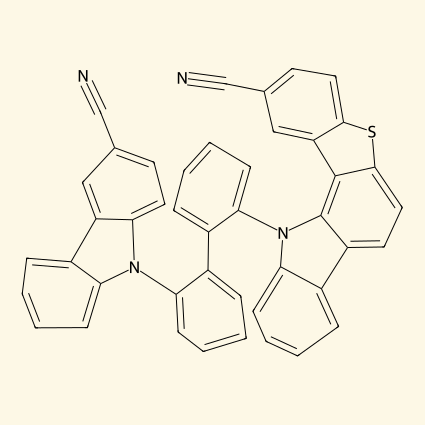 N#Cc1ccc2sc3ccc4c5ccccc5n(-c5ccccc5-c5ccccc5-n5c6ccccc6c6cc(C#N)ccc65)c4c3c2c1